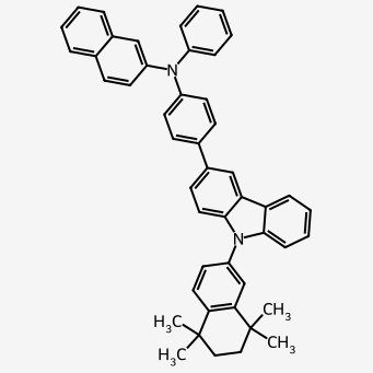 CC1(C)CCC(C)(C)c2cc(-n3c4ccccc4c4cc(-c5ccc(N(c6ccccc6)c6ccc7ccccc7c6)cc5)ccc43)ccc21